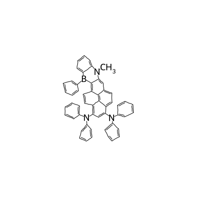 CN1c2ccccc2B(c2ccccc2)c2c1cc1ccc3c(N(c4ccccc4)c4ccccc4)cc(N(c4ccccc4)c4ccccc4)c4ccc2c1c34